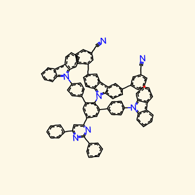 N#Cc1cccc(-c2ccc3c(c2)c2cc(-c4cccc(C#N)c4)ccc2n3-c2c(-c3ccc(-n4c5ccccc5c5ccccc54)cc3)cc(-c3cc(-c4ccccc4)nc(-c4ccccc4)n3)cc2-c2ccc(-n3c4ccccc4c4ccccc43)cc2)c1